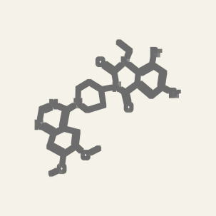 CCn1c(=O)n(C2CCN(c3ncnc4cc(OC)c(OC)cc34)CC2)c(=O)c2cc(Br)cc(Br)c21